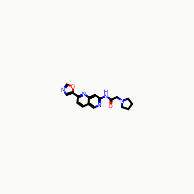 O=C(CN1CCCC1)Nc1cc2nc(-c3cnco3)ccc2cn1